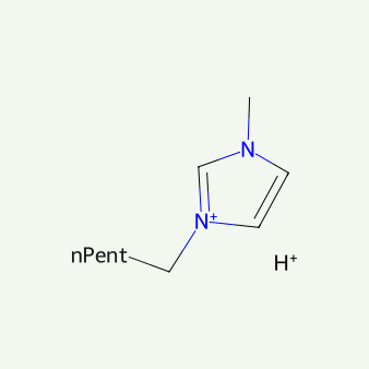 CCCCCC[n+]1ccn(C)c1.[H+]